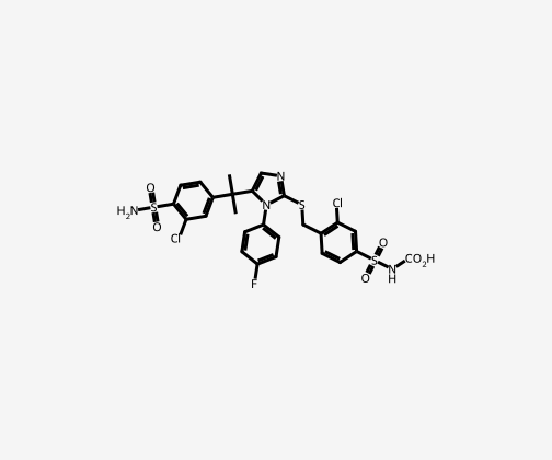 CC(C)(c1ccc(S(N)(=O)=O)c(Cl)c1)c1cnc(SCc2ccc(S(=O)(=O)NC(=O)O)cc2Cl)n1-c1ccc(F)cc1